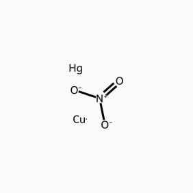 O=[N+]([O-])[O-].[Cu].[Hg]